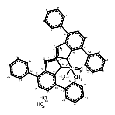 CC(C)C1=Cc2c(-c3ccccc3)ccc(-c3ccccc3)c2[CH]1[Zr]([CH3])([CH3])(=[SiH2])[CH]1C(C(C)C)=Cc2c(-c3ccccc3)ccc(-c3ccccc3)c21.Cl.Cl